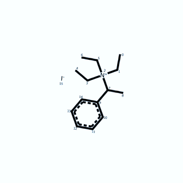 CC[N+](CC)(CC)C(C)c1ccccc1.[I-]